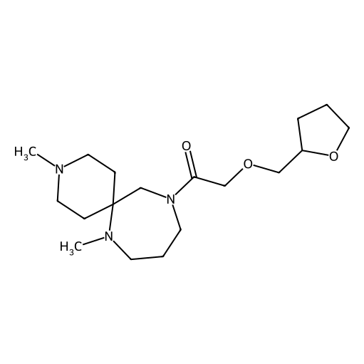 CN1CCC2(CC1)CN(C(=O)COCC1CCCO1)CCCN2C